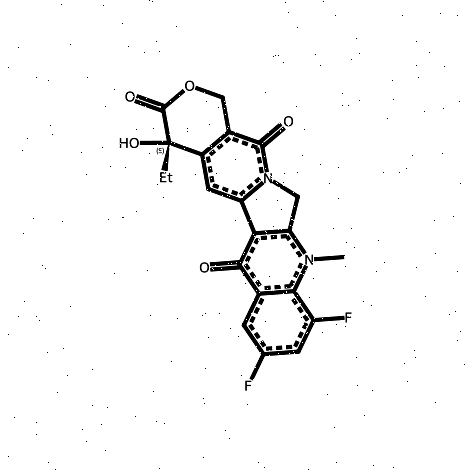 CC[C@@]1(O)C(=O)OCc2c1cc1n(c2=O)Cc2c-1c(=O)c1cc(F)cc(F)c1n2C